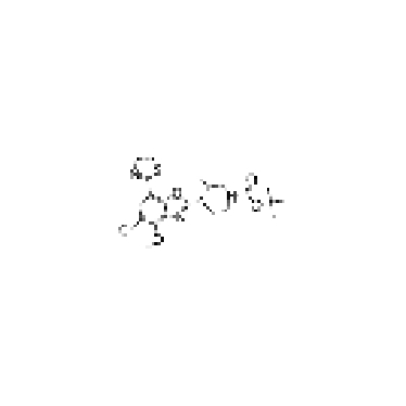 COc1c(Cl)cc(-c2nccs2)c2oc(N3CCN(C(=O)OC(C)(C)C)CC3C)nc12